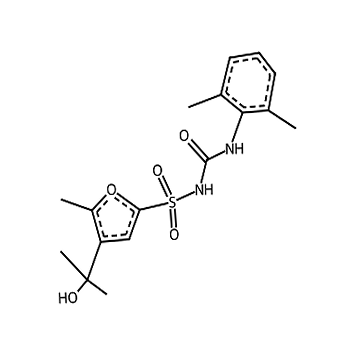 Cc1cccc(C)c1NC(=O)NS(=O)(=O)c1cc(C(C)(C)O)c(C)o1